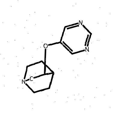 c1ncc(OC2CN3CCC2CC3)cn1